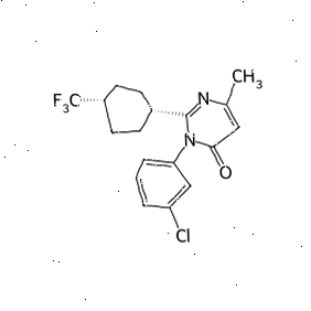 Cc1cc(=O)n(-c2cccc(Cl)c2)c([C@H]2CC[C@@H](C(F)(F)F)CC2)n1